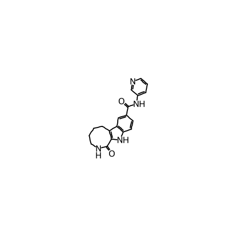 O=C(Nc1cccnc1)c1ccc2[nH]c3c(c2c1)CCCCNC3=O